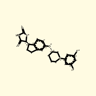 O=C1NC(=O)C([C@@H]2CCc3cc(O[C@H]4CCCN(c5cc(F)cc(F)c5)C4)ccc32)S1